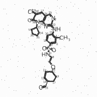 Cc1cc(S(=O)(=O)NCCO[C@H]2CC[C@H](C=O)CC2)ccc1Nc1ncc2cc(Cl)c(=O)n(C3CCCC3)c2n1